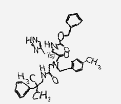 Cc1ccc(CN(CC(=O)NCC(C)(C)c2ccccc2)C(=O)[C@H](Cc2c[nH]cn2)NC(=O)OCc2ccccc2)cc1